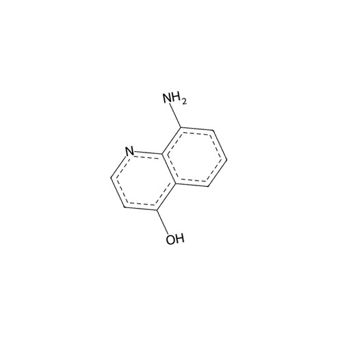 Nc1cccc2c(O)ccnc12